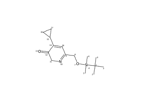 CC(C)(C)[Si](C)(C)OCC1=NCC(=O)C(C2CC2)=C1